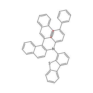 c1ccc(-c2ccc(N(c3ccc4ccccc4c3-c3ccc4ccccc4c3)c3cccc4c3sc3ccccc34)cc2)cc1